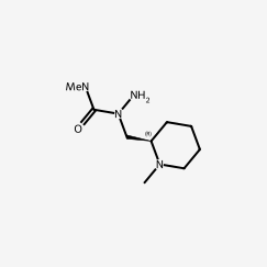 CNC(=O)N(N)C[C@H]1CCCCN1C